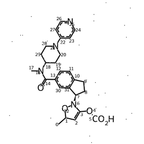 CC1C=C(OC(=O)O)N([C@@H]2CCc3ccc(C(=O)N(C)C4CCN(c5ccncc5)CC4)cc32)O1